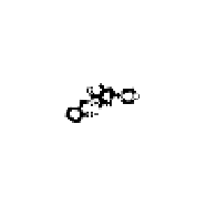 Cc1cc(N2CCOCC2)nc(C)c1C(=O)NCC1CCCCC1O